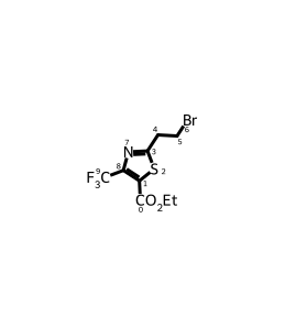 CCOC(=O)c1sc(CCBr)nc1C(F)(F)F